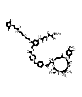 COc1ccc(C[C@H]2NC(=O)/C=C/C[C@@H]([C@H](C)[C@H]3O[C@@H]3c3ccc(CN4CCN(C(=O)OCc5ccc(NC(=O)CNC(=O)C(NC(C)=O)C(C)C)cc5OCCOCCNC(=O)CCN5C(=O)C=CC5=O)CC4)cc3)OC(=O)[C@H](CC(C)C)NC(=O)C(C)(C)CNC2=O)cc1Cl